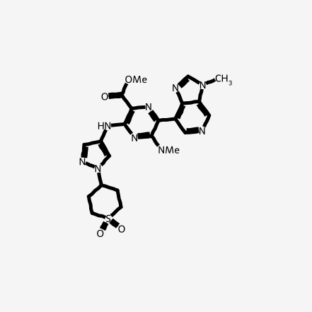 CNc1nc(Nc2cnn(C3CCS(=O)(=O)CC3)c2)c(C(=O)OC)nc1-c1cncc2c1ncn2C